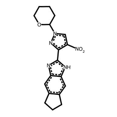 O=[N+]([O-])c1cn(C2CCCCO2)nc1-c1nc2cc3c(cc2[nH]1)CCC3